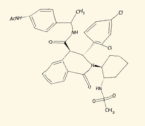 CC(=O)Nc1ccc(C(C)NC(=O)[C@@H]2c3ccccc3C(=O)N([C@H]3CCCC[C@@H]3NS(C)(=O)=O)[C@H]2c2ccc(Cl)cc2Cl)cc1